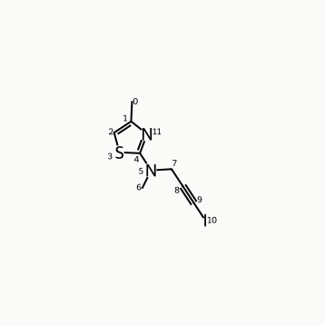 Cc1csc(N(C)CC#CI)n1